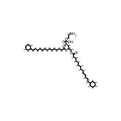 NCCOP(=O)(O)OCC(COC(=O)CCCCCCCCCCCCCC1CCCCC1)OC(=O)CCCCCCCCCCCCCC1CCCCC1